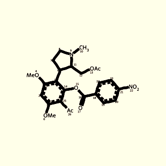 COc1cc(OC)c(C2CCN(C)C2COC(C)=O)c(OC(=O)c2ccc([N+](=O)[O-])cc2)c1C(C)=O